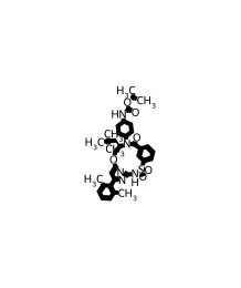 Cc1cccc(C)c1-c1cc2nc(n1)NS(=O)(=O)c1cccc(c1)C(=O)N(C1CCC(NC(=O)OC(C)C)CC1)[C@H](CC(C)(C)C)CO2